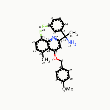 COc1ccc(COc2cc(C(C)(N)c3cccc(F)c3)nc3c(F)ccc(C)c23)cc1